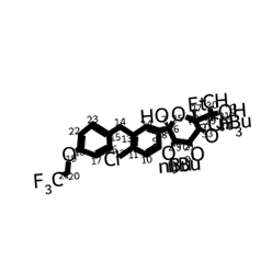 CCCCO[C@@H]1[C@@H](OCCCC)[C@](O)(c2ccc(Cl)c(Cc3ccc(OCC(F)(F)F)cc3)c2)O[C@](CC)(C(C)(C)O)[C@H]1OCCCC